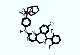 CNC1CC2CCC(C1)N2C(=O)c1ccc(Nc2ncc3c(n2)-c2ccc(Cl)cc2C(c2c(F)cccc2F)=NC3)cc1